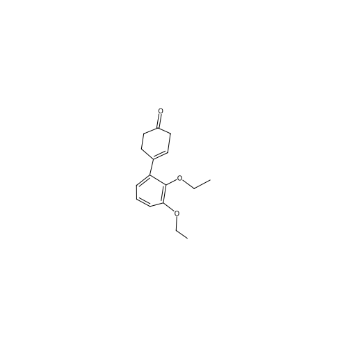 CCOc1cccc(C2=CCC(=O)CC2)c1OCC